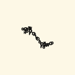 Cn1nc(N2CCC(=O)NC2=O)c2cc(F)c(C3CCN(CCN4CCC(COc5cc(F)c6c(=O)[nH]c(COC7CCOCC7)nc6c5)CC4)CC3)cc21